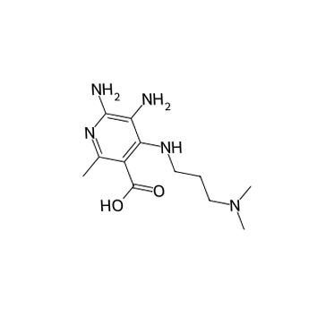 Cc1nc(N)c(N)c(NCCCN(C)C)c1C(=O)O